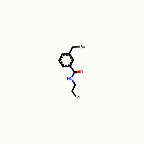 CC(C)CCNC(=O)c1cccc(CC(C)(C)C)c1